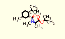 CC(C)OC(=O)C(C)N(C)C(=O)[C@@H]1C[C@H](C)CC[C@H]1C(C)C